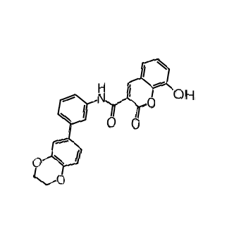 O=C(Nc1cccc(-c2ccc3c(c2)OCCO3)c1)c1cc2cccc(O)c2oc1=O